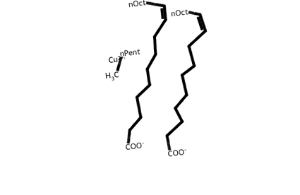 CCCCCC.CCCCCCCC/C=C\CCCCCCCC(=O)[O-].CCCCCCCC/C=C\CCCCCCCC(=O)[O-].[Cu+2]